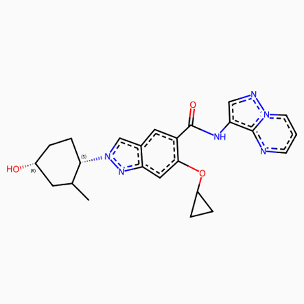 CC1C[C@H](O)CC[C@@H]1n1cc2cc(C(=O)Nc3cnn4cccnc34)c(OC3CC3)cc2n1